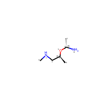 CNC[C@H](C)O[C@H](C)N